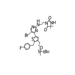 CC1(C)NC(=O)N(CCNc2ncc(Br)c(-c3cc(CCO[Si](C)(C)C(C)(C)C)c(Cc4ccc(F)cc4)s3)n2)C1=O